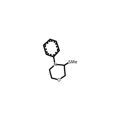 CSC1COCCN1c1ccccc1